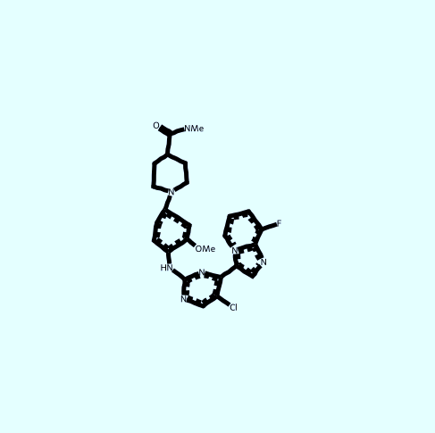 CNC(=O)C1CCN(c2ccc(Nc3ncc(Cl)c(-c4cnc5c(F)cccn45)n3)c(OC)c2)CC1